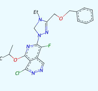 CCN1CN(c2nc(OC(C)C(F)(F)F)c3c(Cl)nncc3c2F)N=C1COCc1ccccc1